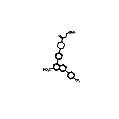 COCCC(=O)N1CCC(c2ccc(-c3cc(C(=O)O)cc4cc(-c5ccc(C(F)(F)F)cc5)ccc34)cc2)CC1